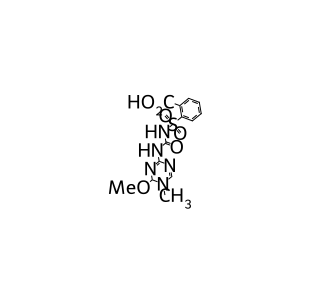 COC1N=C(NC(=O)NS(=O)(=O)c2ccccc2C(=O)O)N=CN1C